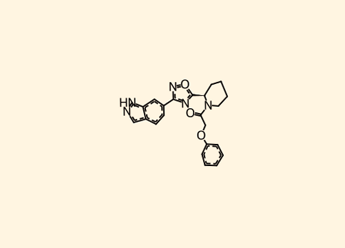 O=C(COc1ccccc1)N1CCCC[C@@H]1c1nc(-c2ccc3cn[nH]c3c2)no1